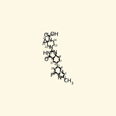 Cc1cn2cc(-c3ccc4nc(N5CCN(C(=O)O)C6(CC6)C5)[nH]c(=O)c4c3)cc(F)c2n1